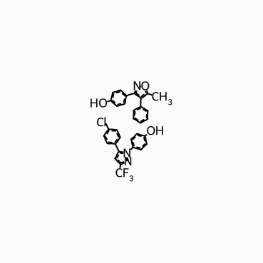 Cc1onc(-c2ccc(O)cc2)c1-c1ccccc1.Oc1ccc(-n2nc(C(F)(F)F)cc2-c2ccc(Cl)cc2)cc1